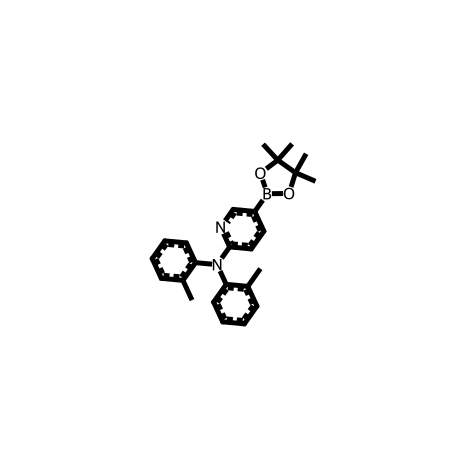 Cc1ccccc1N(c1ccc(B2OC(C)(C)C(C)(C)O2)cn1)c1ccccc1C